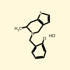 CC1Cc2sccc2CN1Cc1ccccc1Cl.Cl